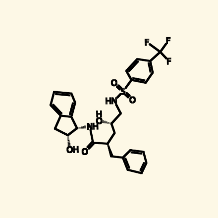 O=C(N[C@H]1c2ccccc2C[C@H]1O)[C@H](Cc1ccccc1)C[C@H](O)CNS(=O)(=O)c1ccc(C(F)(F)F)cc1